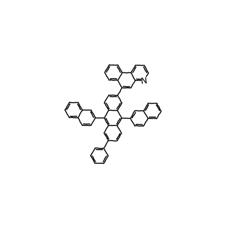 c1ccc(-c2ccc3c(-c4ccc5ccccc5c4)c4cc(-c5cc6ncccc6c6ccccc56)ccc4c(-c4ccc5ccccc5c4)c3c2)cc1